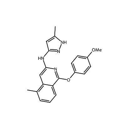 COc1ccc(Oc2nc(Nc3cc(C)[nH]n3)cc3c(C)cccc23)cc1